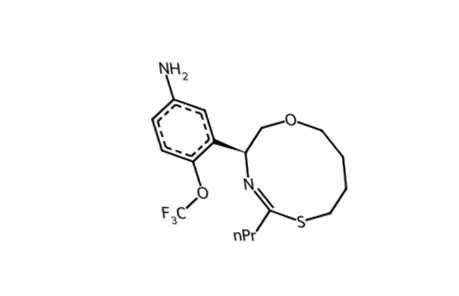 CCC/C1=N/[C@@H](c2cc(N)ccc2OC(F)(F)F)COCCCCS1